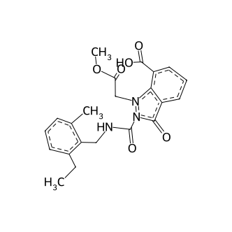 CCc1cccc(C)c1CNC(=O)n1c(=O)c2cccc(C(=O)O)c2n1CC(=O)OC